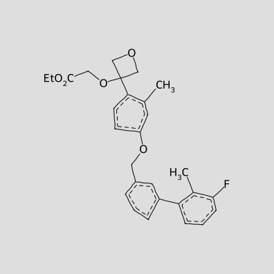 CCOC(=O)COC1(c2ccc(OCc3cccc(-c4cccc(F)c4C)c3)cc2C)COC1